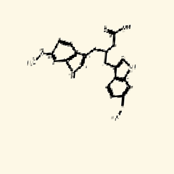 COc1ccc2c(CC(CC(=O)O)Cc3c[nH]c4cc(OC)ccc34)c[nH]c2c1